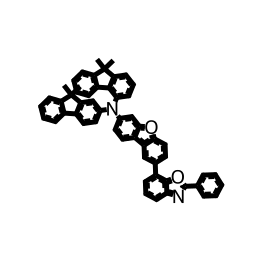 CC1(C)c2ccccc2-c2ccc(N(c3ccc4c(c3)oc3ccc(-c5cccc6nc(-c7ccccc7)oc56)cc34)c3cccc4c3-c3ccccc3C4(C)C)cc21